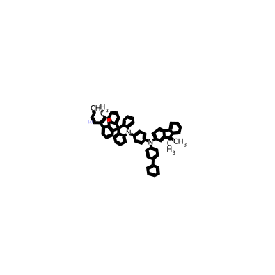 C=C/C=C\c1c(C)oc2c(C3(c4ccccc4)c4ccccc4N(c4ccc(N(c5ccc(-c6ccccc6)cc5)c5ccc6c(c5)C(C)(C)c5ccccc5-6)cc4)c4ccccc43)cccc12